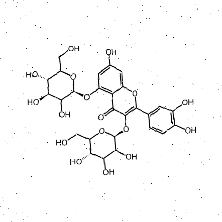 O=c1c(O[C@@H]2OC(CO)[C@@H](O)C(O)C2O)c(-c2ccc(O)c(O)c2)oc2cc(O)cc(O[C@@H]3OC(CO)[C@@H](O)[C@H](O)C3O)c12